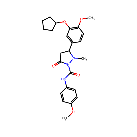 COc1ccc(NC(=O)N2C(=O)CC(c3ccc(OC)c(OC4CCCC4)c3)N2C)cc1